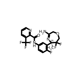 C[C@]1(c2cc(NC(=O)c3ncccc3C(F)(F)F)ccc2F)N=C(N)COCC1(F)F